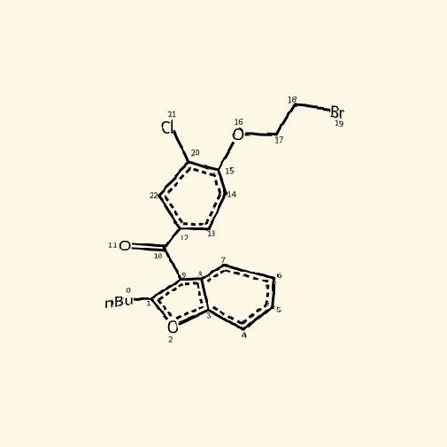 CCCCc1oc2ccccc2c1C(=O)c1ccc(OCCBr)c(Cl)c1